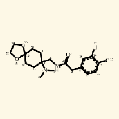 CN(C)C1(CNC(=O)Cc2ccc(Cl)c(Cl)c2)CCC2(CC1)OCCO2